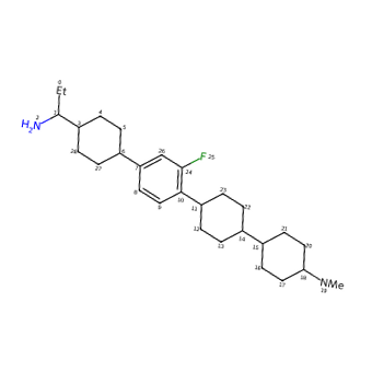 CCC(N)C1CCC(c2ccc(C3CCC(C4CCC(NC)CC4)CC3)c(F)c2)CC1